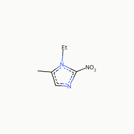 CCn1c(C)cnc1[N+](=O)[O-]